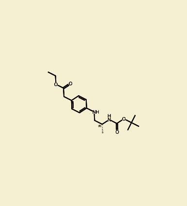 CCOC(=O)Cc1ccc(NC[C@@H](C)NC(=O)OC(C)(C)C)cc1